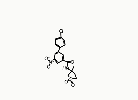 CC1(NC(=O)c2cc(-c3ccc(Cl)cc3)cc([N+](=O)[O-])c2)CCS(=O)(=O)C1